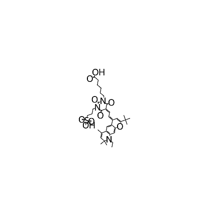 CCN1c2cc3c(cc2C(C)=CC1(C)C)C(=CC=C1C(=O)N(CCCCCC(=O)O)C(=O)N(CCCS(=O)(=O)O)C1=O)C=C(C(C)(C)C)O3